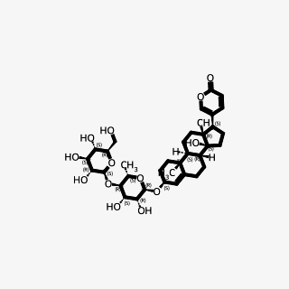 C[C@@H]1O[C@@H](O[C@@H]2C=C3CC[C@@H]4[C@H](CC[C@]5(C)[C@@H](c6ccc(=O)oc6)CC[C@]45O)[C@@]3(C)CC2)[C@H](O)[C@H](O)[C@H]1O[C@@H]1O[C@H](CO)[C@@H](O)[C@H](O)[C@H]1O